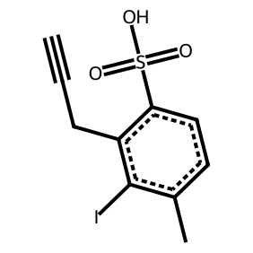 C#CCc1c(S(=O)(=O)O)ccc(C)c1I